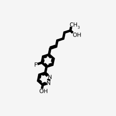 CC(O)CCCC=Cc1ccc(-c2ccc(O)nn2)c(F)c1